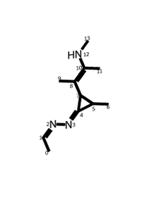 C/C=N\N=C1\C(C)C1/C(C)=C(\C)NC